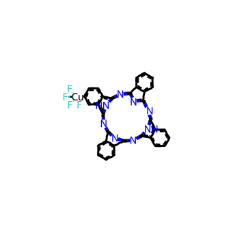 [F][Cu]([F])([F])([F])[c]1ccc2c3nc4nc(nc5[nH]c(nc6nc(nc([nH]3)c2c1)-c1ccccc1-6)c1ccccc51)-c1ccccc1-4